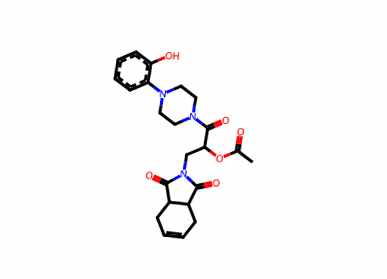 CC(=O)OC(CN1C(=O)C2CC=CCC2C1=O)C(=O)N1CCN(c2ccccc2O)CC1